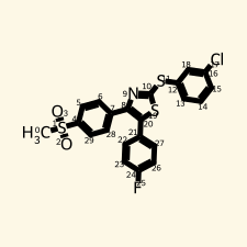 CS(=O)(=O)c1ccc(-c2nc(Sc3cccc(Cl)c3)sc2-c2ccc(F)cc2)cc1